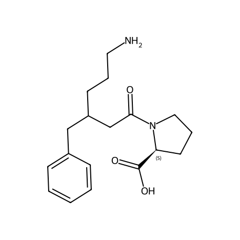 NCCCC(CC(=O)N1CCC[C@H]1C(=O)O)Cc1ccccc1